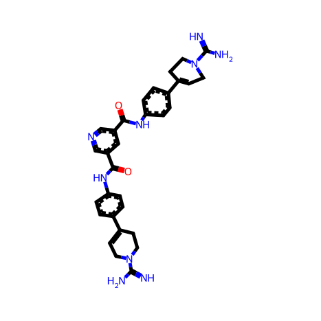 N=C(N)N1CC=C(c2ccc(NC(=O)c3cncc(C(=O)Nc4ccc(C5=CCN(C(=N)N)CC5)cc4)c3)cc2)CC1